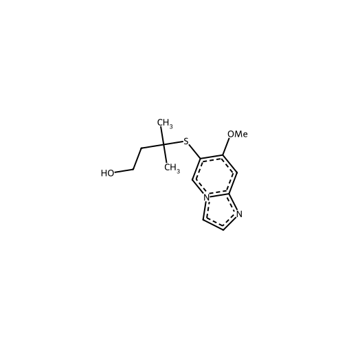 COc1cc2nccn2cc1SC(C)(C)CCO